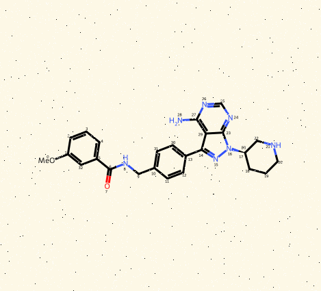 COc1cccc(C(=O)NCc2ccc(-c3nn([C@@H]4CCCNC4)c4ncnc(N)c34)cc2)c1